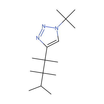 CC(C)C(C)(C)C(C)(C)c1cn(C(C)(C)C)nn1